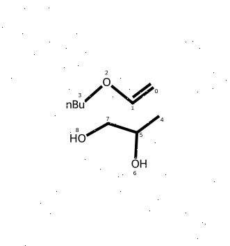 C=COCCCC.CC(O)CO